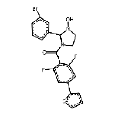 O=C(c1c(F)cc(-c2cccs2)cc1F)N1CCN(O)C1c1cccc(Br)c1